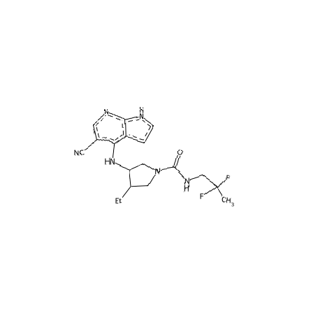 CCC1CN(C(=O)NCC(C)(F)F)CC1Nc1c(C#N)cnc2[nH]ccc12